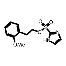 COc1ccccc1CCOS(=O)(=O)c1ncc[nH]1